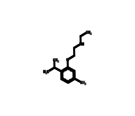 CCNCCOc1cc(C)ccc1C(C)C